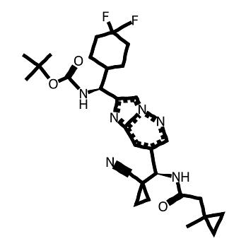 CC1(CC(=O)N[C@H](c2cnn3cc([C@@H](NC(=O)OC(C)(C)C)C4CCC(F)(F)CC4)nc3c2)C2(C#N)CC2)CC1